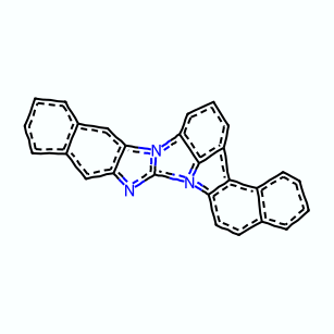 c1ccc2cc3c(cc2c1)nc1n3c2cccc3c4c5ccccc5ccc4n1c32